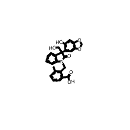 Cc1cccc(C(=O)O)c1CN1C(=O)C(CO)(c2cc3c(cc2O)OCO3)c2ccccc21